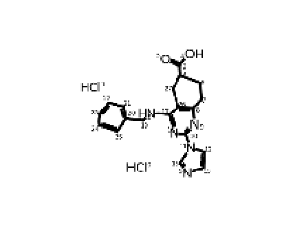 Cl.Cl.O=C(O)C1CCc2nc(-n3ccnc3)nc(NCc3ccccc3)c2C1